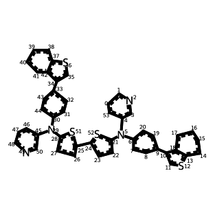 c1cncc(N(c2ccc(-c3csc4ccccc34)cc2)c2ccc(-c3ccc(N(c4ccc(-c5csc6ccccc56)cc4)c4cccnc4)s3)s2)c1